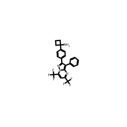 NC1(c2ccc(-c3nn4c(C(F)(F)F)cc(C(F)(F)F)nc4c3-c3ccccc3)cc2)CCC1